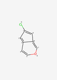 Clc1[c]c2ccocc-2c1